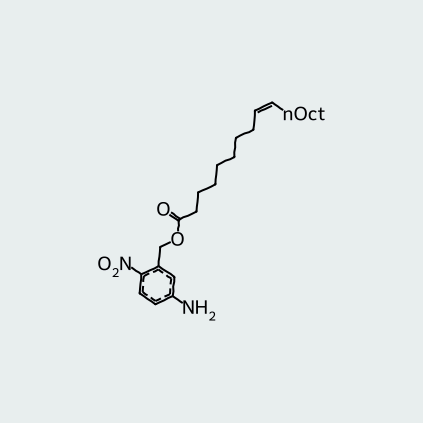 CCCCCCCC/C=C\CCCCCCCC(=O)OCc1cc(N)ccc1[N+](=O)[O-]